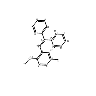 COc1ccc(C)cc1N=C(c1ccccc1)c1ncccn1